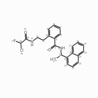 C[C@@H](NC(=O)c1ccccc1CCNC(=O)C(F)Cl)c1cccc2ccccc12